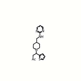 CC(=O)CC(c1cccs1)N1CCC(CNc2ncccn2)CC1